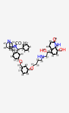 O=C(O)N(C(c1ccccc1)c1cccc(OCc2cccc(OCCCCNC[C@@H](O)c3ccc(O)c4[nH]c(=O)ccc34)c2)c1)[C@H]1CN2CCC1CC2